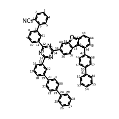 N#Cc1ccccc1-c1cccc(-c2nc(-c3cccc(-c4ccc(-c5ccccc5)cc4)c3)nc(-c3ccc4c(c3)oc3cccc(-c5ccc(-c6ccccc6)cc5)c34)n2)c1